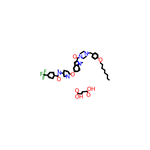 CCCCCCCCOc1ccc(CN2CCN(C(=O)c3cc4cc(Oc5ccc(N(C)C(=O)c6ccc(C(F)(F)F)cc6)cn5)ccc4n3C)CC2)cc1.O=C(O)C=CC(=O)O